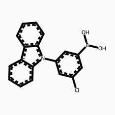 OB(O)c1cc(Cl)cc(-n2c3ccccc3c3ccccc32)c1